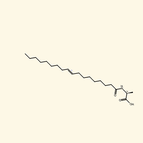 CCCCCCCC/C=C/CCCCCCCC(=O)N[C@@H](C)C(=O)O